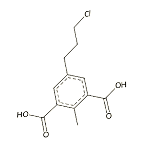 Cc1c(C(=O)O)cc(CCCCl)cc1C(=O)O